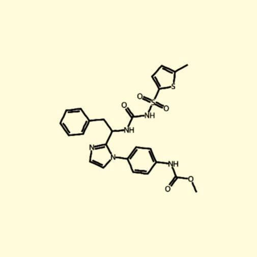 COC(=O)Nc1ccc(-n2ccnc2C(Cc2ccccc2)NC(=O)NS(=O)(=O)c2ccc(C)s2)cc1